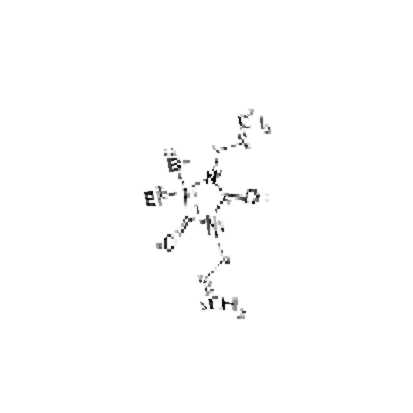 C=CCN1C(=O)N(CC=C)C(Br)(Br)C1=O